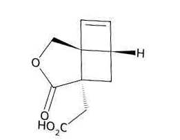 O=C(O)C[C@@]12C[C@H]3C=C[C@]31COC2=O